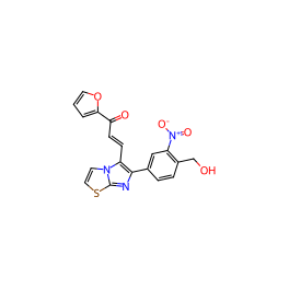 O=C(/C=C/c1c(-c2ccc(CO)c([N+](=O)[O-])c2)nc2sccn12)c1ccco1